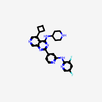 Fc1cnc(Nc2cc(-c3nc(NC4CCNCC4)c4c(C5CCC5)cncc4n3)ccn2)c(F)c1